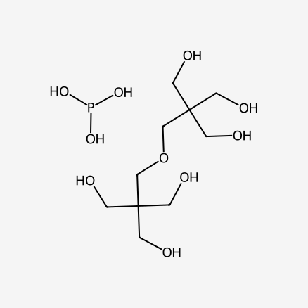 OCC(CO)(CO)COCC(CO)(CO)CO.OP(O)O